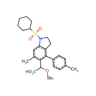 Cc1ccc(-c2c3c(cc(C)c2C(OC(C)(C)C)C(=O)O)N(S(=O)(=O)C2CCCCC2)CC3)cc1